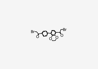 O=C(CBr)c1ccc(-c2ccc(C(=O)CBr)c3c2OCCO3)cc1